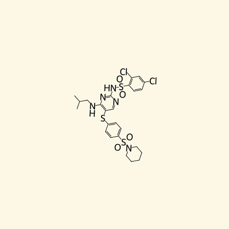 CC(C)CNc1nc(NS(=O)(=O)c2ccc(Cl)cc2Cl)ncc1Sc1ccc(S(=O)(=O)N2CCCCC2)cc1